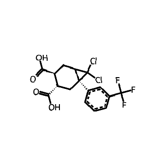 O=C(O)[C@H]1CC2C(Cl)(Cl)[C@@]2(c2cccc(C(F)(F)F)c2)C[C@@H]1C(=O)O